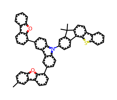 Cc1ccc2oc3c(-c4ccc5c(c4)c4cc(-c6cccc7c6oc6ccccc67)ccc4n5-c4ccc5c(c4)C(C)(C)c4ccc6c(sc7ccccc76)c4-5)cccc3c2c1